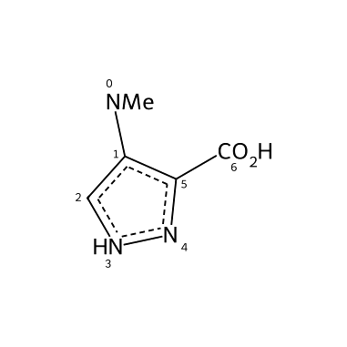 CNc1c[nH]nc1C(=O)O